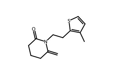 C=C1CCCC(=O)N1CCc1sccc1C